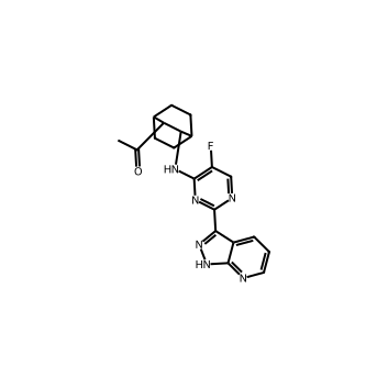 CC(=O)C1C2CCC(CC2)C1Nc1nc(-c2n[nH]c3ncccc23)ncc1F